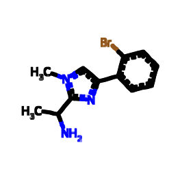 CC(N)c1nc(-c2ccccc2Br)cn1C